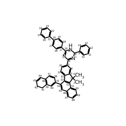 CC1(C)c2cc(C3=NC(c4ccccc4)NC(c4ccc(-c5ccccc5)cc4)=N3)ccc2-c2c(-c3ccc4c(c3)CCC=C4)cc3ccccc3c21